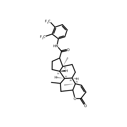 CC1CC2OC(=O)C=C[C@]2(C)[C@@H]2CC[C@]3(C)C(C(=O)Nc4cccc(C(F)(F)F)c4C(F)(F)F)CC[C@H]3[C@H]12